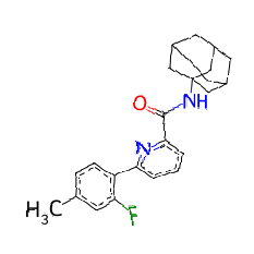 Cc1ccc(-c2cccc(C(=O)NC34CC5CC(CC(C5)C3)C4)n2)c(F)c1